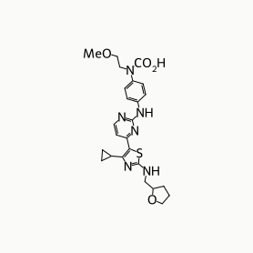 COCCN(C(=O)O)c1ccc(Nc2nccc(-c3sc(NCC4CCCO4)nc3C3CC3)n2)cc1